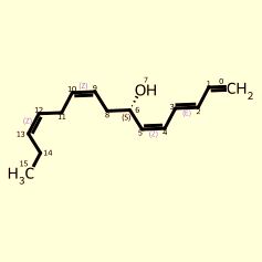 C=C/C=C/C=C\[C@@H](O)C/C=C\C/C=C\CC